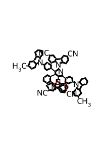 Cc1ccc2c(c1)c1ccccc1n2-c1ccc(-c2nc(-n3c4ccc(C#N)cc4c4cc(C#N)ccc43)c(-c3ccc(-n4c5ccccc5c5cc(C)ccc54)cc3)c(-c3ccccc3-c3nc4ccccc4s3)c2-n2c3ccc(C#N)cc3c3cc(C#N)ccc32)cc1